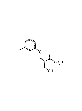 Cc1cccc(OC[C@H](CO)NC(=O)O)c1